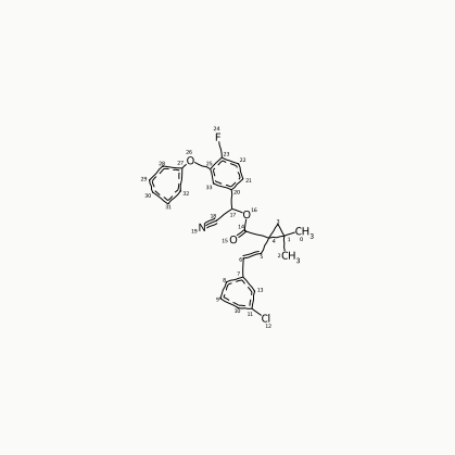 CC1(C)CC1(C=Cc1cccc(Cl)c1)C(=O)OC(C#N)c1ccc(F)c(Oc2ccccc2)c1